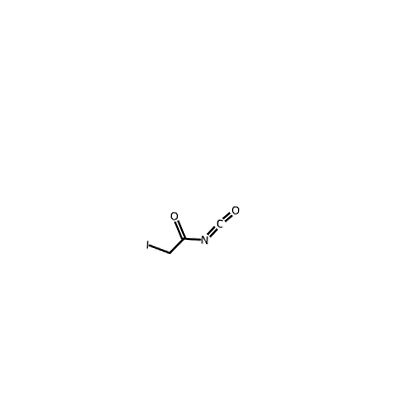 O=C=NC(=O)CI